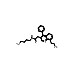 O=C(Cc1cnc2c(CCO)cccc2c1-c1ccccc1)NCCCCO